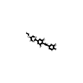 CCOc1cnc(-c2cc(F)c(C#Cc3ccc(F)c(F)c3)c(F)c2)nc1